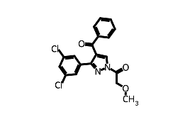 COCC(=O)n1cc(C(=O)c2ccccc2)c(-c2cc(Cl)cc(Cl)c2)n1